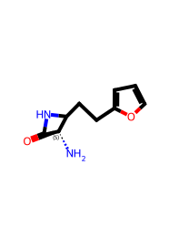 N[C@@H]1C(=O)NC1CCc1ccco1